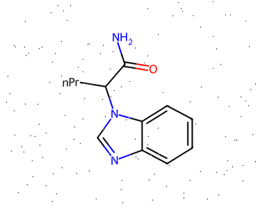 CCCC(C(N)=O)n1cnc2ccccc21